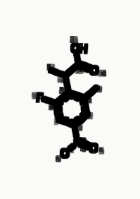 Cc1cc([N+](=O)[O-])cc(F)c1C(C)C(=O)O